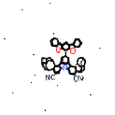 N#Cc1cc2c(c3c1C1CC4CC(C1)CC3C4)c1cc(-c3c4oc5ccccc5c4cc4c3oc3ccccc34)cc3c4c5c(c(C#N)cc4n2c13)C1CC2CC3CC5CC23C1